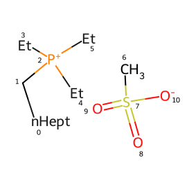 CCCCCCCC[P+](CC)(CC)CC.CS(=O)(=O)[O-]